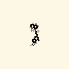 C=CCC(=Cc1ccc(OC)cc1)CCC(=O)Nc1cccc2cccnc12